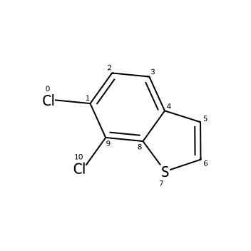 Clc1ccc2ccsc2c1Cl